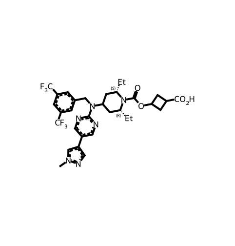 CC[C@@H]1CC(N(Cc2cc(C(F)(F)F)cc(C(F)(F)F)c2)c2ncc(-c3cnn(C)c3)cn2)C[C@H](CC)N1C(=O)OC1CC(C(=O)O)C1